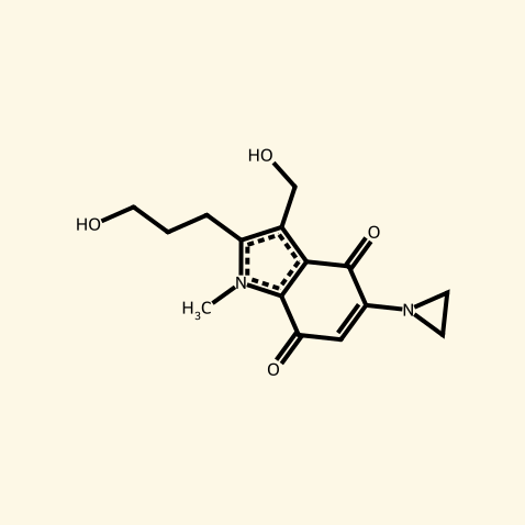 Cn1c(CCCO)c(CO)c2c1C(=O)C=C(N1CC1)C2=O